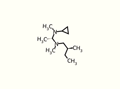 CC[C@H](C)CN(C)[C@H](C)N(C)C1CC1